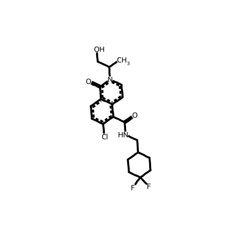 CC(CO)n1ccc2c(C(=O)NCC3CCC(F)(F)CC3)c(Cl)ccc2c1=O